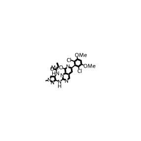 C=CC(=O)Nc1cn(C)nc1Nc1ncc2cc(-c3c(Cl)c(OC)cc(OC)c3Cl)nc(OC)c2n1